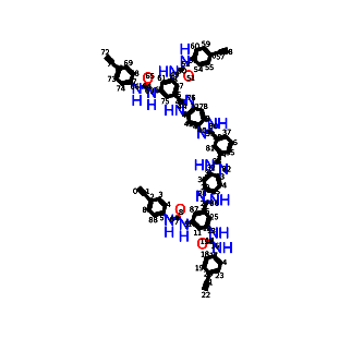 C#Cc1ccc(NC(=O)Nc2cc(NC(=O)Nc3ccc(C#C)cc3)cc(-c3nc4cc5[nH]c(-c6cccc(-c7nc8cc9[nH]c(-c%10cc(NC(=O)Nc%11ccc(C#C)cc%11)cc(NC(=O)Nc%11ccc(C#C)cc%11)c%10)nc9cc8[nH]7)c6)nc5cc4[nH]3)c2)cc1